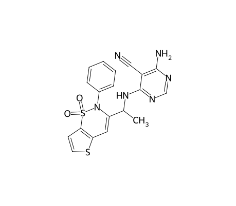 CC(Nc1ncnc(N)c1C#N)C1=Cc2sccc2S(=O)(=O)N1c1ccccc1